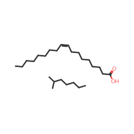 CCCCCC(C)C.CCCCCCCC/C=C\CCCCCCCC(=O)O